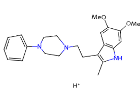 COc1cc2[nH]c(C)c(CCN3CCN(c4ccccc4)CC3)c2cc1OC.[H+]